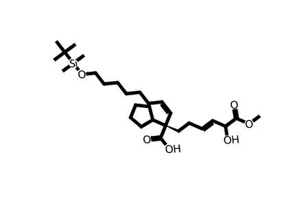 COC(=O)C(O)/C=C/CC[C@@](/C=C\CCCCCCO[Si](C)(C)C(C)(C)C)(C(=O)O)C1CCCC1